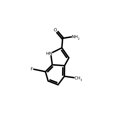 Cc1ccc(F)c2[nH]c(C(N)=O)cc12